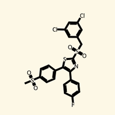 CS(=O)(=O)c1ccc(-c2sc(S(=O)(=O)Cc3cc(Cl)cc(Cl)c3)nc2-c2ccc(F)cc2)cc1